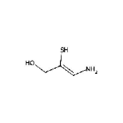 N/C=C(\S)CO